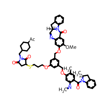 C=Nc1cc(OCc2cc(COc3cc4c(cc3OC)C(=O)N3c5ccccc5C[C@H]3C=N4)cc(OCCCSC3CC(=O)N(CC4CCC(C(C)=O)CC4)C3=O)c2)c(C)cc1C(=O)N1c2ccccc2C[C@H]1C